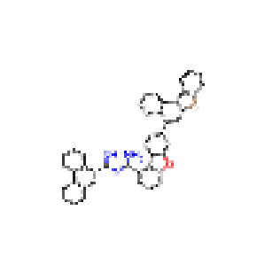 N=C(/N=C(\N)c1cccc2oc3cc(-c4cc5sc6ccccc6c5c5ccccc45)ccc3c12)c1cc2ccccc2c2ccccc12